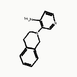 Nc1ccncc1N1CCc2ccccc2C1